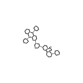 c1ccc(-c2c3ccccc3c(-c3ccccc3)c3cc(-c4cccc(-c5ccc6sc7c(-c8ccccc8)cccc7c6c5)c4)ccc23)cc1